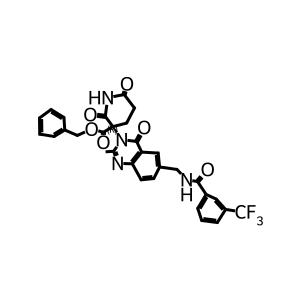 Cc1nc2ccc(CNC(=O)c3cccc(C(F)(F)F)c3)cc2c(=O)n1[C@]1(C(=O)OCc2ccccc2)CCC(=O)NC1=O